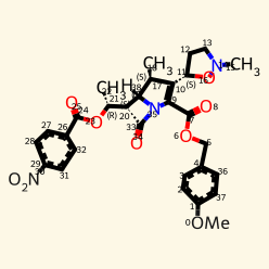 COc1ccc(COC(=O)C2=C([C@@H]3CCN(C)O3)[C@H](C)[C@H]3[C@@H]([C@@H](C)OC(=O)c4ccc([N+](=O)[O-])cc4)C(=O)N23)cc1